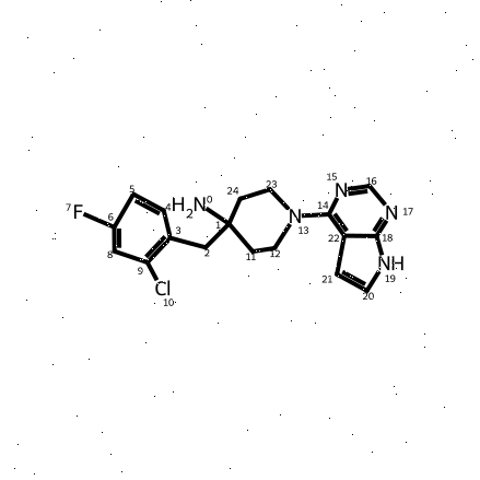 NC1(Cc2ccc(F)cc2Cl)CCN(c2ncnc3[nH]ccc23)CC1